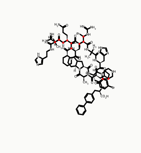 CC(C)C[C@H](NC(=O)[C@@H](CCCNC(=N)N)NC(=O)[C@@H]1CCCCN1C(=O)[C@H](CCCCNC(=N)N)NC(=O)[C@H](CCC(N)=O)NC(=O)C(C)(C)C(=O)NCCc1cnc[nH]1)C(=O)NC(C)(C)C(=O)N[C@@H](Cc1c[nH]cn1)C(=O)N[C@@H](CC1CCNCC1)C(=O)N[C@@H](C)C(=O)N1[C@H](C(=O)N[C@@H](Cc2ccc(Br)cc2)C(=O)N2CCC[C@H]2C(=O)N[C@H](Cc2ccc(-c3ccccc3)cc2)C(=O)O)C[C@@H]2CCCC[C@@H]21